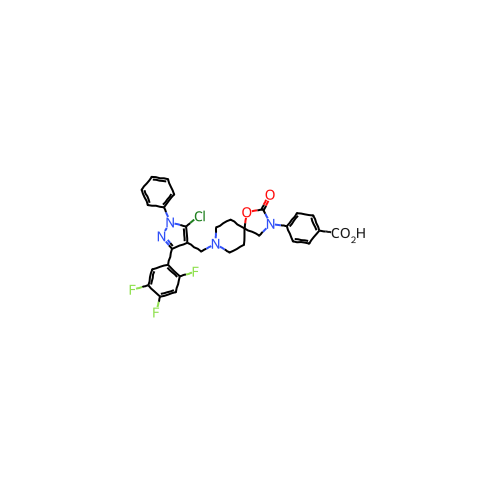 O=C(O)c1ccc(N2CC3(CCN(Cc4c(-c5cc(F)c(F)cc5F)nn(-c5ccccc5)c4Cl)CC3)OC2=O)cc1